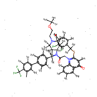 [2H]c1c([2H])c(F)c(F)c(C([2H])([2H])Sc2c([2H])c(=O)c3c([2H])c([2H])c([2H])c([2H])c3n2CC(=O)N(C([2H])([2H])c2c([2H])c([2H])c(-c3c([2H])c([2H])c(C(F)(F)F)c(C)c3[2H])c([2H])c2[2H])C2([2H])C([2H])([2H])C([2H])([2H])N(CCOC([2H])([2H])[2H])C([2H])([2H])C2([2H])[2H])c1[2H]